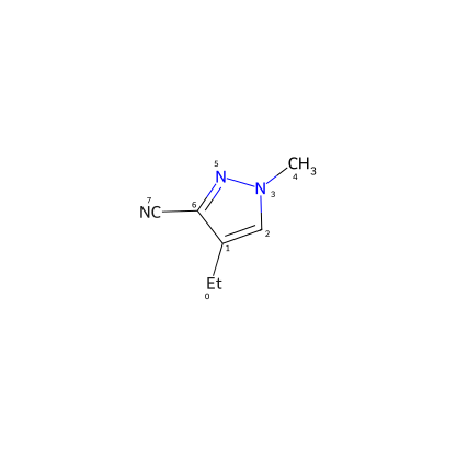 CCc1cn(C)nc1C#N